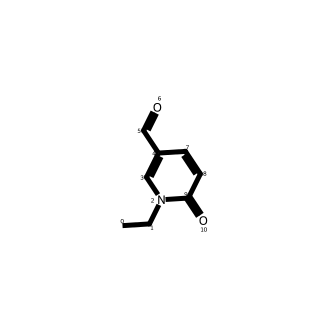 CCn1cc(C=O)ccc1=O